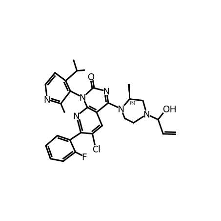 C=CC(O)N1CCN(c2nc(=O)n(-c3c(C(C)C)ccnc3C)c3nc(-c4ccccc4F)c(Cl)cc23)[C@@H](C)C1